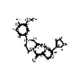 CCOc1cc(N2CCn3c(nn4c(C5CCCC5)ncc4c3=O)C2)ccc1F